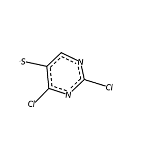 [S]c1cnc(Cl)nc1Cl